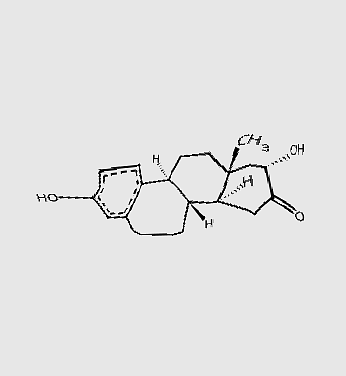 C[C@]12CC[C@@H]3c4ccc(O)cc4CC[C@H]3[C@@H]1CC(=O)[C@H]2O